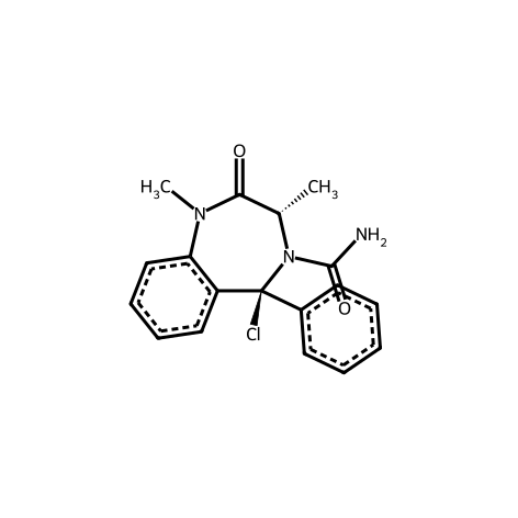 C[C@H]1C(=O)N(C)c2ccccc2[C@@](Cl)(c2ccccc2)N1C(N)=O